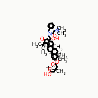 CC(C)C1=C2[C@H]3CC[C@@H]4[C@@]5(C)CC[C@H](OC(=O)CC(C)(C)CC(=O)O)C(C)(C)[C@@H]5CC[C@@]4(C)[C@]3(C)CCC2(C(O)CN(Cc2ccccc2)C(=O)CN(C)C)CC1=O